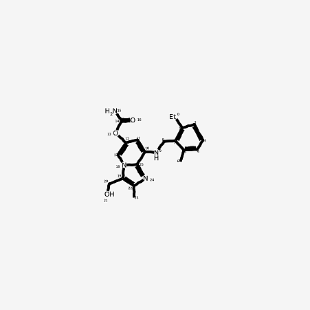 CCc1cccc(C)c1CNc1cc(OC(N)=O)cn2c(CO)c(C)nc12